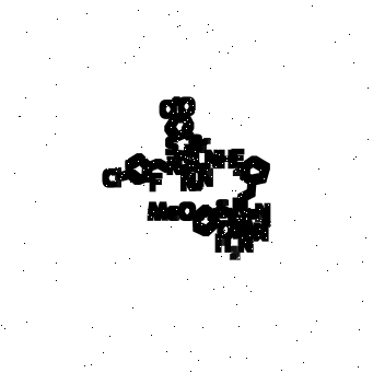 COc1ccc(OC)c(Sc2nc3c(N)ncnc3n2CCc2cccc(F)c2)c1.Nc1ncnc2c1nc(Sc1cc3c(cc1Br)OCO3)n2CCc1ccc(Cl)cc1F